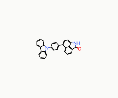 O=C1Nc2ccc(-c3ccc(-n4c5ccccc5c5ccccc54)cc3)c3cccc1c23